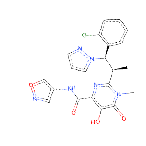 C[C@@H](c1nc(C(=O)Nc2cnoc2)c(O)c(=O)n1C)[C@H](c1ccccc1Cl)n1cccn1